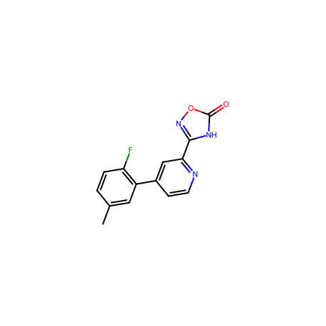 Cc1ccc(F)c(-c2ccnc(-c3noc(=O)[nH]3)c2)c1